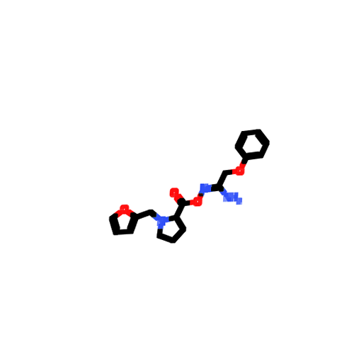 N/C(COc1ccccc1)=N\OC(=O)C1CCCN1Cc1ccco1